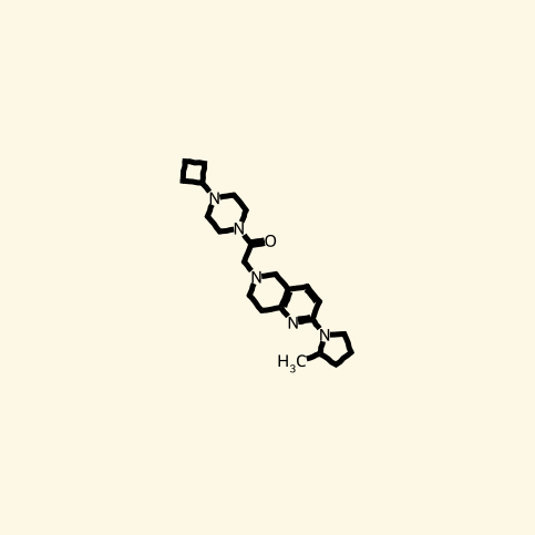 CC1CCCN1c1ccc2c(n1)CCN(CC(=O)N1CCN(C3CCC3)CC1)C2